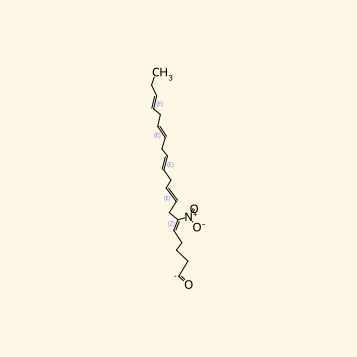 CC/C=C/C/C=C/C/C=C/C/C=C/C/C(=C/CCC[C]=O)[N+](=O)[O-]